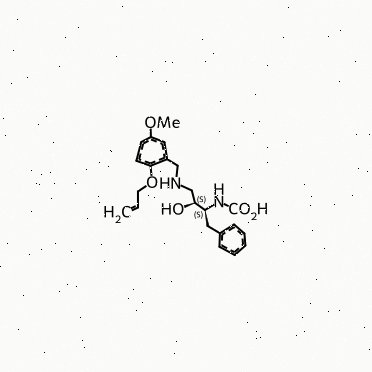 C=CCOc1ccc(OC)cc1CNC[C@H](O)[C@H](Cc1ccccc1)NC(=O)O